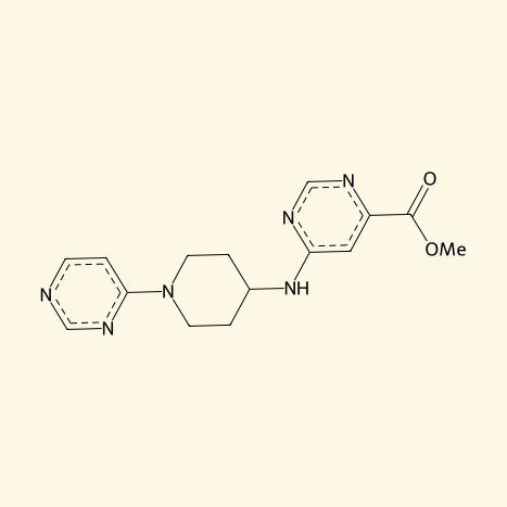 COC(=O)c1cc(NC2CCN(c3ccncn3)CC2)ncn1